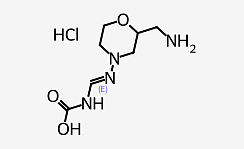 Cl.NCC1CN(/N=C/NC(=O)O)CCO1